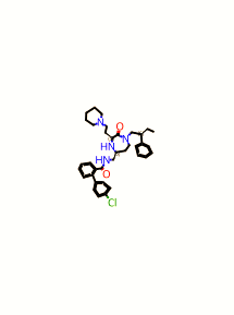 CC[C@H](CN1CC[C@@H](CNC(=O)c2ccccc2-c2ccc(Cl)cc2)N[C@@H](CCN2CCCCC2)C1=O)c1ccccc1